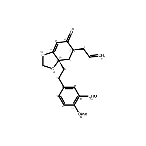 C=CC[C@H]1C[C@]2(CCc3ccc(OC)c(C=O)c3)OCOC2=CC1=O